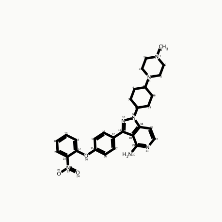 CN1CCN(C2CCC(n3nc(-c4ccc(Oc5ccccc5[N+](=O)[O-])cc4)c4c(N)nccc43)CC2)CC1